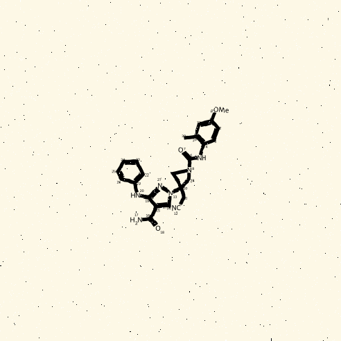 COc1ccc(NC(=O)N2CC(CC#N)(n3cc(C(N)=O)c(Nc4ccccc4)n3)C2)c(C)c1